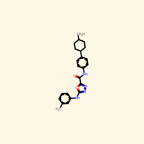 O=C(Nc1ccc(C2CCC(C(=O)O)CC2)cc1)c1nnc(Nc2cccc(C(F)(F)F)c2)o1